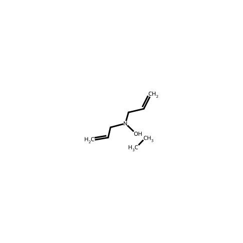 C=CCN(O)CC=C.CC